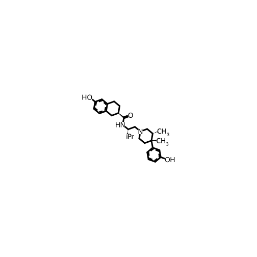 CC(C)[C@@H](CN1CC[C@@](C)(c2cccc(O)c2)[C@@H](C)C1)NC(=O)[C@@H]1CCc2cc(O)ccc2C1